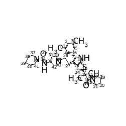 Cc1cc(C)cc(-c2[nH]c3sc(C(C)(C)C(=O)N4C5CCC4CC5)cc3c2CCN2CCC(NC(=O)N3CCCCC3)CC2)c1